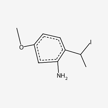 COc1ccc(C(C)I)c(N)c1